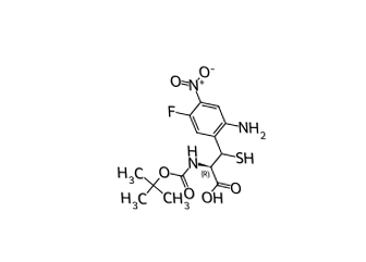 CC(C)(C)OC(=O)N[C@H](C(=O)O)C(S)c1cc(F)c([N+](=O)[O-])cc1N